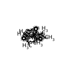 CCCCC(CC)COc1ccccc1C(=O)N=NCC([SiH3])(N=NC(=O)c1ccccc1OCC(CC)CCCC)N=NC(=O)c1ccccc1OCC(CC)CCCC